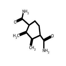 C=C1C(=C)C(C(N)=O)CCC1C(N)=O